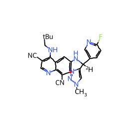 [2H]C(Nc1cc(C#N)c2ncc(C#N)c(NCC(C)(C)C)c2c1)(c1ccc(F)nc1)c1cn(C)nn1